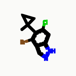 CC1(c2c(Cl)cc3[nH]ncc3c2Br)CC1